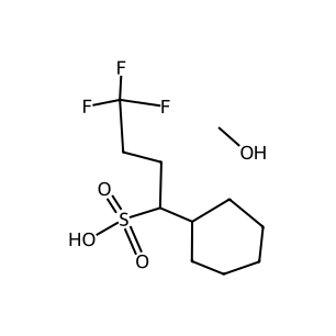 CO.O=S(=O)(O)C(CCC(F)(F)F)C1CCCCC1